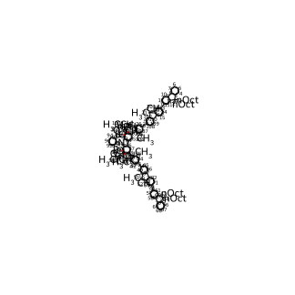 CCCCCCCCC1(CCCCCCCC)c2ccccc2-c2ccc(-c3ccc4c(c3)C(C)(C)c3cc(-c5cc(C)c(-c6ccc7c(c6)c6cc(-c8c(C)cc(-c9ccc%10c(c9)C(C)(C)c9cc(-c%11ccc%12c(c%11)C(CCCCCCCC)(CCCCCCCC)c%11ccccc%11-%12)ccc9-%10)cc8C)ccc6n7-c6c(B7OC(C)(C)C(C)(C)O7)cccc6B6OC(C)(C)C(C)(C)O6)c(C)c5)ccc3-4)cc21